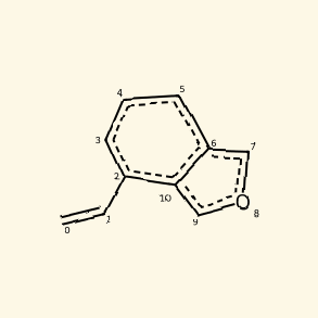 C=Cc1cccc2cocc12